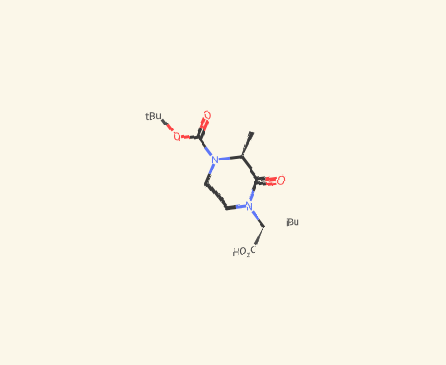 CC[C@H](C)[C@@H](C(=O)O)N1CCN(C(=O)OC(C)(C)C)[C@@H](C)C1=O